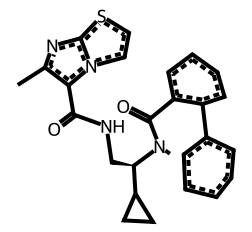 Cc1nc2sccn2c1C(=O)NC[C@H](C1CC1)N(C)C(=O)c1ccccc1-c1ccccc1